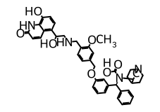 COc1cc(COc2cccc([C@H](c3ccccc3)N(C(=O)O)C3CN4CCC3CC4)c2)ccc1CNCC(O)c1ccc(O)c2[nH]c(=O)ccc12